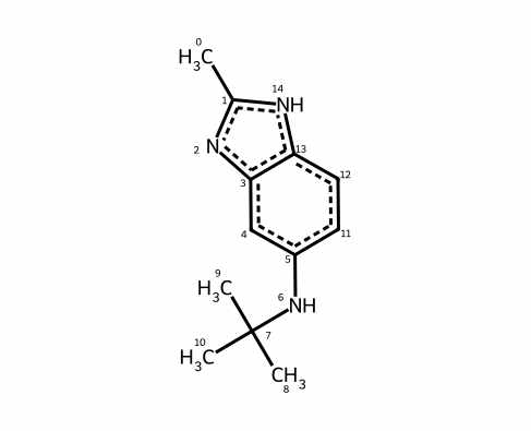 Cc1nc2cc(NC(C)(C)C)ccc2[nH]1